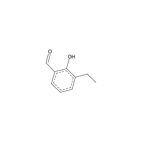 CCc1cccc(C=O)c1O